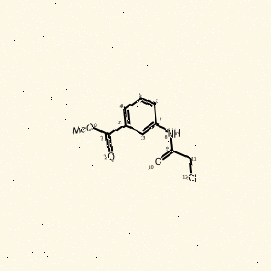 COC(=O)c1cccc(NC(=O)CCl)c1